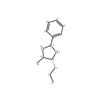 CCC[C@H]1OB(c2ccccc2)OC1C